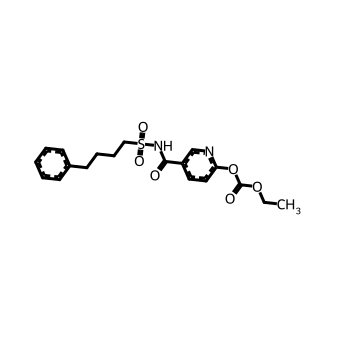 CCOC(=O)Oc1ccc(C(=O)NS(=O)(=O)CCCCc2ccccc2)cn1